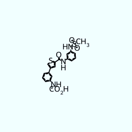 CS(=O)(=O)Nc1cccc(NC(=O)c2cc(-c3cccc(NC(=O)O)c3)cs2)c1